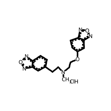 CN(CCOc1ccc2nonc2c1)CCc1ccc2nonc2c1.Cl